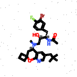 CC(=O)N[C@@H](Cc1ccc(F)c(Br)c1)[C@@H](O)CN(C)[C@H]1CC2(CCC2)Oc2ncc(CC(C)(C)C)cc21